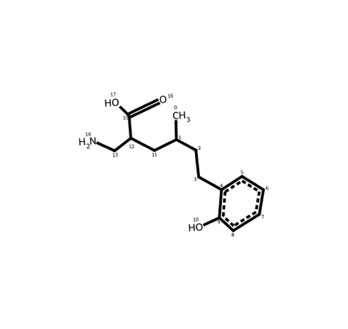 CC(CCc1ccccc1O)CC(CN)C(=O)O